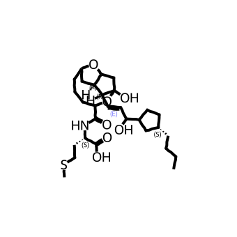 CCCC[C@H]1CCC(C(O)/C=C/[C@@H]2[C@H]3CC4CCCC(C(=O)N[C@@H](CCSC)C(=O)O)OC2(O)CC3O4)C1